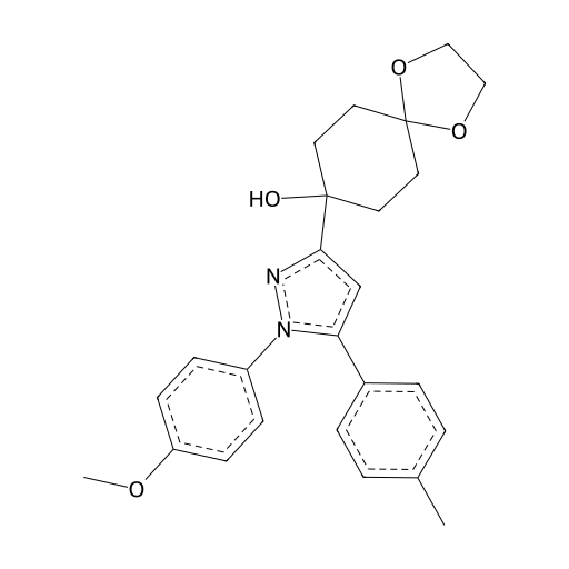 COc1ccc(-n2nc(C3(O)CCC4(CC3)OCCO4)cc2-c2ccc(C)cc2)cc1